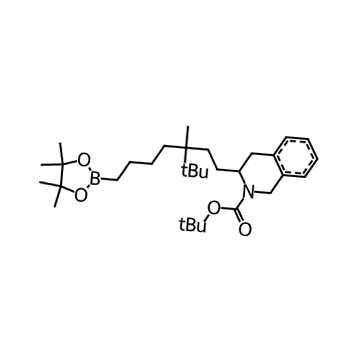 CC(C)(C)OC(=O)N1Cc2ccccc2CC1CCC(C)(CCCCB1OC(C)(C)C(C)(C)O1)C(C)(C)C